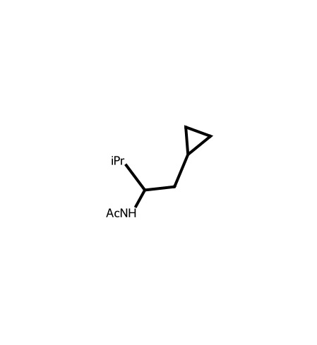 CC(=O)NC(CC1CC1)C(C)C